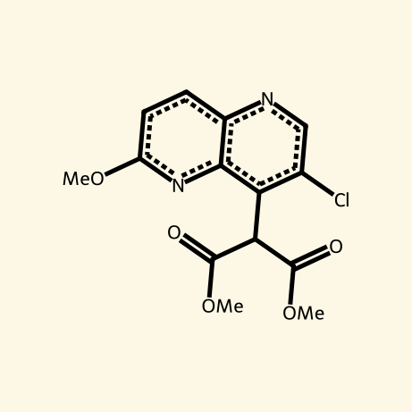 COC(=O)C(C(=O)OC)c1c(Cl)cnc2ccc(OC)nc12